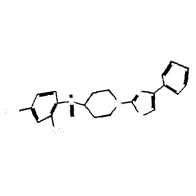 COc1ccc(S(=O)(=O)C2CCN(c3nc(-c4ccccc4)cs3)CC2)c(OC)c1